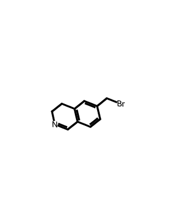 BrCc1ccc2c(c1)CCN=C2